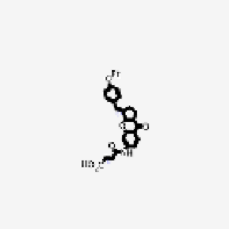 CCOc1ccc(/C=C2\CCc3c2oc2cc(NC(=O)/C=C/C(=O)O)ccc2c3=O)cc1